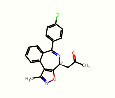 CC(=O)C[C@@H]1N=C(c2ccc(Cl)cc2)c2ccccc2-c2c(C)noc21